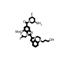 COc1cc(C(=O)N2C[C@H](N)C[C@@H](F)C2)cc2nc(-c3cc4cccc5c4n3CCN5CCCO)n(CC(F)F)c12